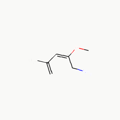 BC(=C)/C=C(\CN)OC